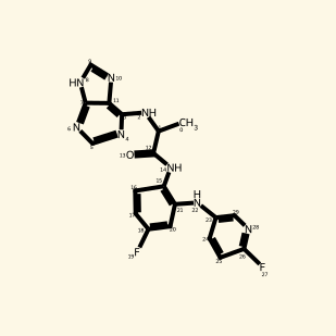 CC(Nc1ncnc2[nH]cnc12)C(=O)Nc1ccc(F)cc1Nc1ccc(F)nc1